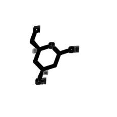 OC1C[C@@H](O)C[C@@H](CCl)O1